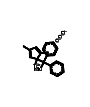 CCCCC(c1ccccc1)(c1ccccc1)[C]1([Ti+3])C=C(C)C=C1C.[Cl-].[Cl-].[Cl-]